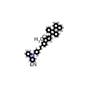 CC1(C)c2cc(/C=C/c3ccc(-n4c5ccccc5c5cc(C#N)ccc54)cc3)ccc2-c2ccc(-c3c4ccccc4c(-c4cccc5ccccc45)c4ccccc34)cc21